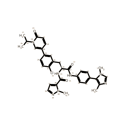 Cc1ncn(C)c1-c1ccc(NC(=O)[C@H](Cc2cc(-c3ccc(=O)n(C(C)C)c3)ccc2Cl)NC(=O)c2ccnn2C)cc1